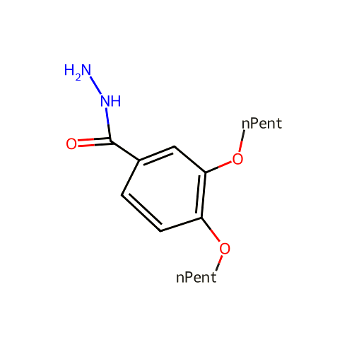 CCCCCOc1ccc(C(=O)NN)cc1OCCCCC